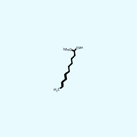 CC=CC=CCCCCCC(OC)OC